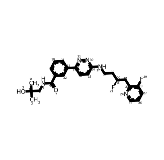 CC(C)(O)CNC(=O)c1cccc(-c2ccc(NCC[C@H](F)Cc3ncccc3F)nn2)c1